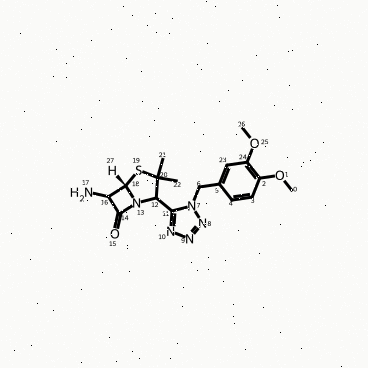 COc1ccc(Cn2nnnc2C2N3C(=O)C(N)[C@@H]3SC2(C)C)cc1OC